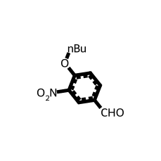 CCCCOc1ccc(C=O)cc1[N+](=O)[O-]